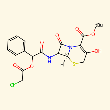 CC(C)(C)OC(=O)C1=C(O)CS[C@H]2C(NC(=O)C(OC(=O)CCl)c3ccccc3)C(=O)N12